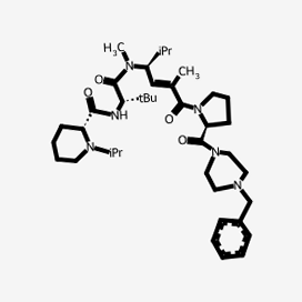 C/C(=C\[C@H](C(C)C)N(C)C(=O)[C@@H](NC(=O)[C@H]1CCCCN1C(C)C)C(C)(C)C)C(=O)N1CCC[C@H]1C(=O)N1CCN(Cc2ccccc2)CC1